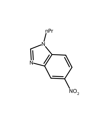 CCCn1cnc2cc([N+](=O)[O-])ccc21